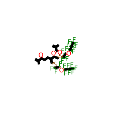 C=C(C)C(=O)CCC(CSC(F)(F)C(F)OC(F)(F)C(F)(F)C(F)(F)F)C(CSC(F)(F)C(F)OC(F)(F)C(F)(F)C(F)(F)F)OC(=O)C(=C)C